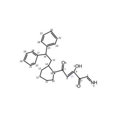 N=CC(=O)/C(O)=C/C(=O)N1CCCCC1CC(c1ccccc1)c1ccccc1